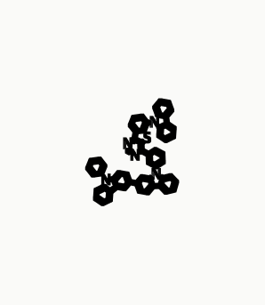 c1ccc(-n2c3ccccc3c3cc(-c4ccc5c6ccccc6n(-c6cccc(-c7ncnc8c7sc7c(-n9c%10ccccc%10c%10ccccc%109)cccc78)c6)c5c4)ccc32)cc1